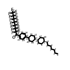 CCCCCCC[C@H]1CC[C@H](C2CCC(c3ccc(C(=O)C(F)(F)C(F)(F)C(F)(F)C(F)(F)C(F)(F)C(F)(F)C(F)(F)F)cc3)CC2)CC1